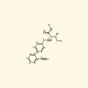 CC[C@H](C)[C@H](NCc1ccc(-c2ccccc2C#N)cc1)C(=O)OC